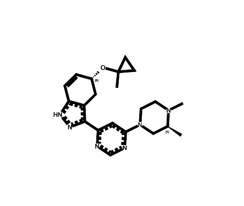 C[C@H]1CN(c2cc(-c3n[nH]c4c3C[C@@H](OC3(C)CC3)C=C4)ncn2)CCN1C